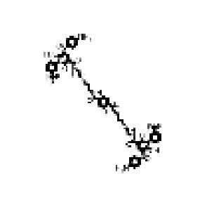 Cc1c([S+]([O-])c2ccc(N)cc2)cc(C(=O)NCCOCCCNC(=O)c2ccc(C(=O)NCCCOCCNC(=O)c3cc([S+]([O-])c4ccc(N)cc4)c(C)n(-c4cccc(C(F)(F)F)c4)c3=O)cc2)c(=O)n1-c1cccc(C(F)(F)F)c1